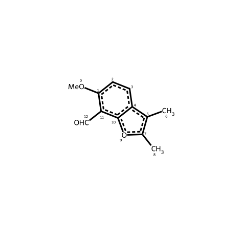 COc1ccc2c(C)c(C)oc2c1C=O